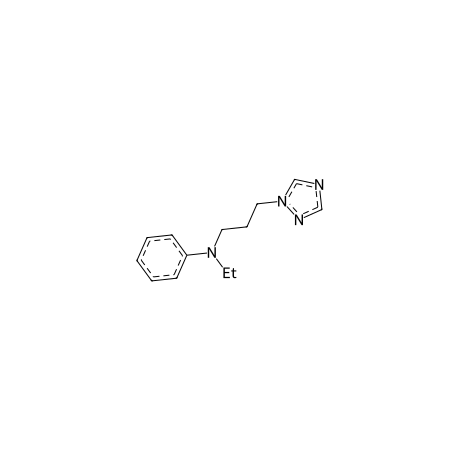 CCN(CCCn1cncn1)c1ccccc1